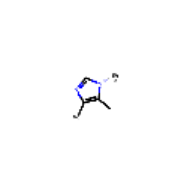 CC[C@@H](C)n1cnc(C(C)=O)c1C